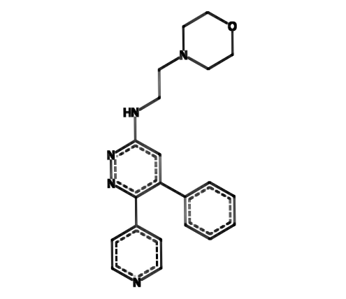 c1ccc(-c2cc(NCCN3CCOCC3)nnc2-c2ccncc2)cc1